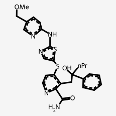 CCCC(O)(Cc1c(Sc2cnc(Nc3ccc(COC)cn3)s2)ccnc1C(N)=O)c1ccccc1